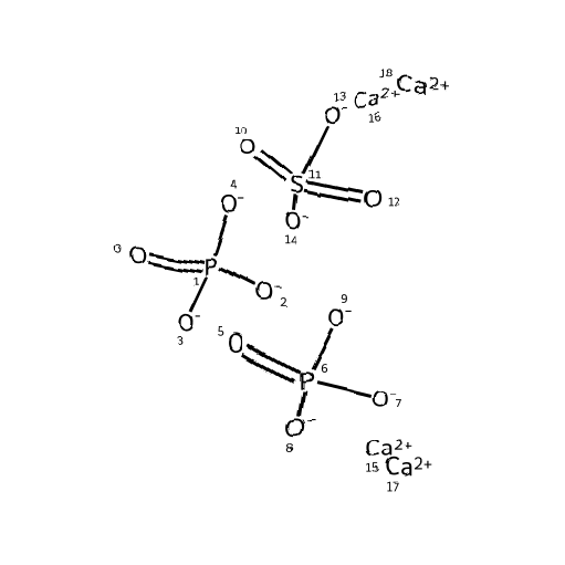 O=P([O-])([O-])[O-].O=P([O-])([O-])[O-].O=S(=O)([O-])[O-].[Ca+2].[Ca+2].[Ca+2].[Ca+2]